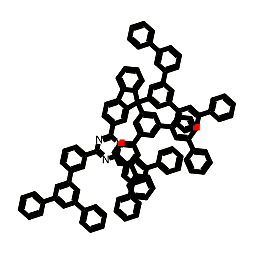 c1ccc(-c2cccc(-c3cc(-c4cccc(-c5ccccc5)c4)cc(C4(c5cc(-c6cccc(-c7ccccc7)c6)cc(-c6cccc(-c7ccccc7)c6)c5)c5ccccc5-c5ccc(-c6nc(-c7cccc(-c8cc(-c9ccccc9)cc(-c9ccccc9)c8)c7)nc(-c7cc(-c8ccccc8)cc(-c8ccccc8)c7)n6)cc54)c3)c2)cc1